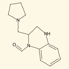 O=CN1c2ccccc2NCC1CN1CCCC1